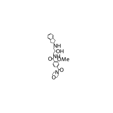 COc1cc(C(=O)N2CCOCC2)ccc1C(=O)NCC(O)CNC1Cc2ccccc2C1